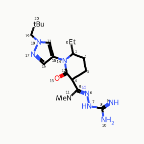 CCC1CCC(/C(=N/NC(=N)N)NC)C(=O)N1c1cnn(CC(C)(C)C)c1